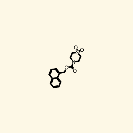 O=C(OCc1cccc2ccccc12)N1CCS(=O)(=O)CC1